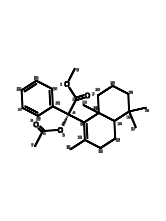 COC(=O)[C@@](OC(C)=O)(C1=C(C)CCC2C(C)(C)CCCC12C)c1ccccc1